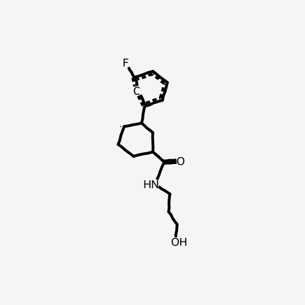 O=C(NCCCO)C1CC[CH]C(c2cccc(F)c2)C1